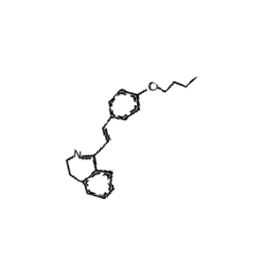 CCCCOc1ccc(C=CC2=NCCc3ccccc32)cc1